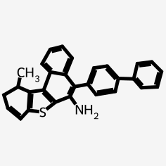 CC1CC=Cc2sc3c(N)c(-c4ccc(-c5ccccc5)cc4)c4ccccc4c3c21